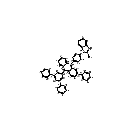 CCc1nc2ccccc2n1-c1ccc(-c2c3ccccc3c(-c3cc(-c4ccccc4)cc(-c4ccccc4)c3)c3ccc(-c4ccccc4)cc23)cc1